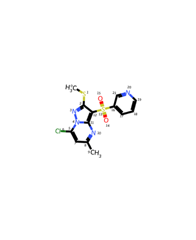 CSc1nn2c(Cl)cc(C)nc2c1S(=O)(=O)c1cccnc1